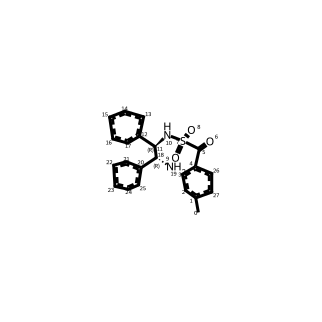 Cc1ccc(C(=O)S(=O)(=O)N[C@H](c2ccccc2)[C@H](N)c2ccccc2)cc1